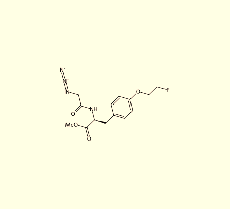 COC(=O)[C@H](Cc1ccc(OCCF)cc1)NC(=O)CN=[N+]=[N-]